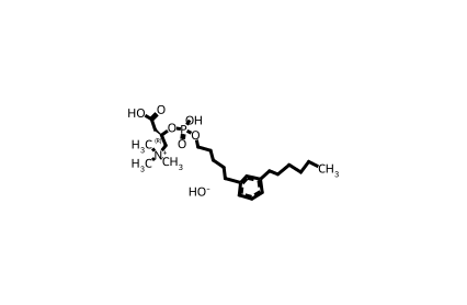 CCCCCCc1cccc(CCCCCOP(=O)(O)O[C@H](CC(=O)O)C[N+](C)(C)C)c1.[OH-]